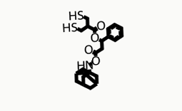 O=C(CC(OC(=O)C(CS)CS)c1ccccc1)ONC12CC3CC(CC(C3)C1)C2